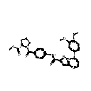 COC(=O)[C@@H]1CCCN1C(=O)c1ccc(NC(=O)c2cc3nccc(-c4ccc(OC)c(OC)c4)n3n2)cc1